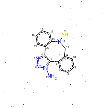 Nn1nnc2c1-c1ccccc1CN(S)c1ccccc1-2